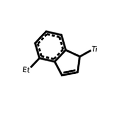 CCc1cccc2c1C=C[CH]2[Ti]